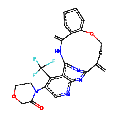 C=C1CCOc2ccccc2C(=C)Nc2nc1nc1ncc(N3CCOCC3=O)c(C(F)(F)F)c21